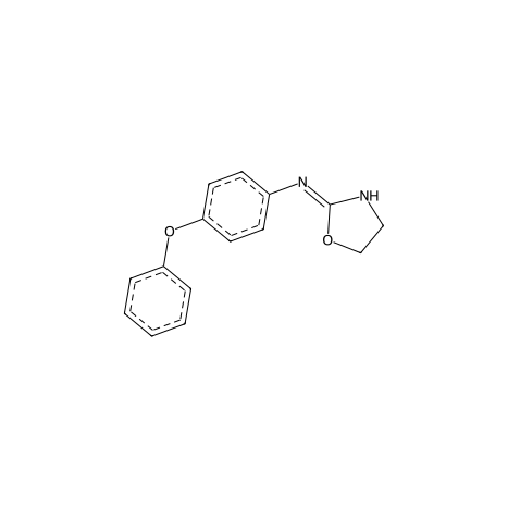 c1ccc(Oc2ccc(N=C3NCCO3)cc2)cc1